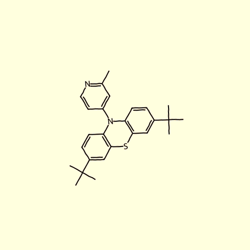 Cc1cc(N2c3ccc(C(C)(C)C)cc3Sc3cc(C(C)(C)C)ccc32)ccn1